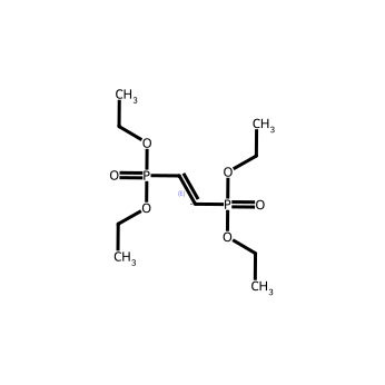 CCOP(=O)(/[C]=C/P(=O)(OCC)OCC)OCC